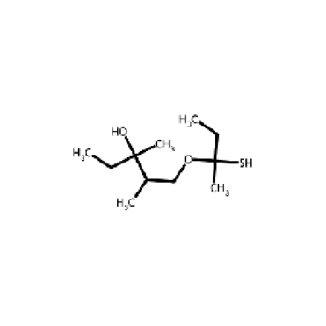 CCC(C)(S)OCC(C)C(C)(O)CC